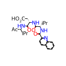 CC(=O)[C@@H](NC(=O)[C@H](CC(=O)O)NC(=O)[C@@H](NC(=O)c1ccc2ccccc2n1)C(C)C)C(C)C